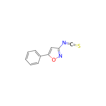 S=C=Nc1cc(-c2ccccc2)on1